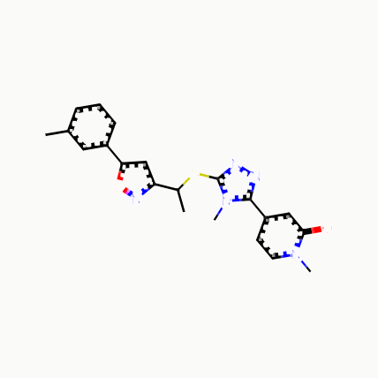 Cc1cccc(-c2cc(C(C)Sc3nnc(-c4ccn(C)c(=O)c4)n3C)no2)c1